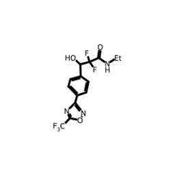 CCNC(=O)C(F)(F)C(O)c1ccc(-c2noc(C(F)(F)F)n2)cc1